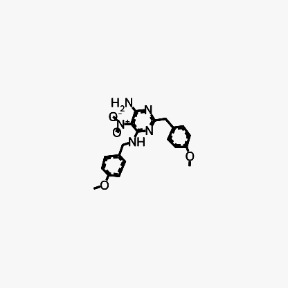 COc1ccc(CNc2nc(Cc3ccc(OC)cc3)nc(N)c2[N+](=O)[O-])cc1